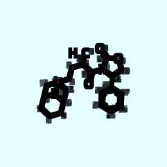 C[C@@H](CCCB1C2CCCC1CCC2)C(=O)N1C(=O)OC[C@H]1c1ccccc1